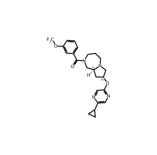 O=C(c1cccc(OC(F)(F)F)c1)N1CCCN2C[C@@H](Oc3cnc(C4CC4)cn3)C[C@H]2C1